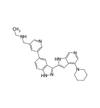 CCNCc1cncc(-c2ccc3[nH]nc(-c4cc5c(N6CCCCC6)cncc5[nH]4)c3c2)c1